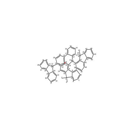 CC1(C)c2ccccc2-c2c(N(c3ccccc3-c3ccc(-n4c5ccccc5c5ccccc54)cc3)c3cccc4c3C(C)(C)c3ccccc3-4)cccc21